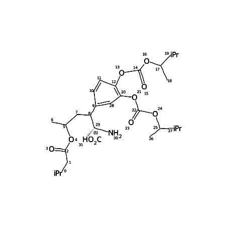 CC(C)CC(=O)OC(C)CC(c1ccc(OC(=O)OC(C)C(C)C)c(OC(=O)OC(C)C(C)C)c1)[C@H](N)C(=O)O